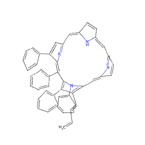 C=CC=Cc1c(-c2ccccc2)c2c(-c3ccccc3)c3nc(cc4ccc(cc5nc(cc1n2-c1ccccc1)C=C5)[nH]4)C=C3c1ccccc1